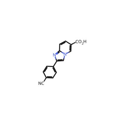 N#Cc1ccc(-c2cn3cc(C(=O)O)ccc3n2)cc1